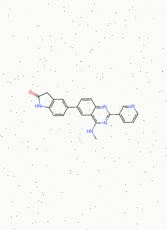 CNc1nc(-c2cccnc2)nc2ccc(-c3ccc4c(c3)CC(=O)N4)cc12